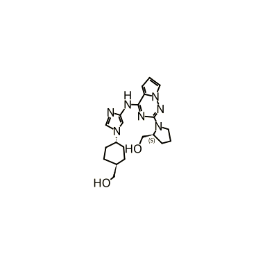 OC[C@@H]1CCCN1c1nc(Nc2cn([C@H]3CC[C@H](CO)CC3)cn2)c2cccn2n1